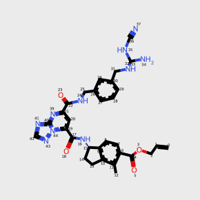 C=CCOC(=O)c1ccc2c(c1C)CC[C@@H]2NC(=O)c1cc(C(=O)NCc2cccc(CNC(N)NC#N)c2)nc2ncnn12